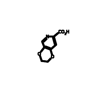 O=C(O)c1cc2c(cn1)OCCO2